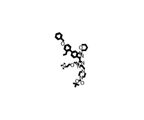 CCc1cc(OCc2ccccc2)ccc1-c1ccc2c(-c3nc(CN4CCN(C(=O)OC(C)(C)C)CC4)nn3COCC[Si](C)(C)C)nn(C3CCCCO3)c2c1